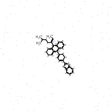 C/C=C(\CCC(C)C)c1c2c(c(C3=CC=C(c4nc5ccccc5s4)CC3)c3ccccc13)=CCCC=2